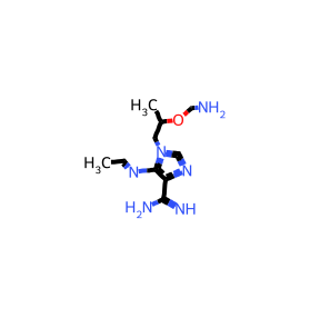 C/C=N/c1c(C(=N)N)ncn1CC(C)OCN